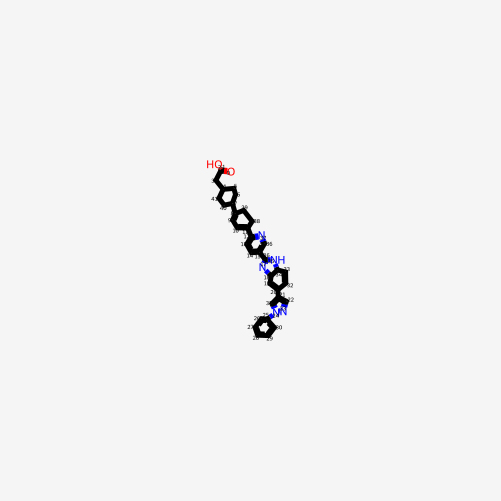 O=C(O)CC1CCC(C2=CC=C(c3ccc(C4=NC5C=C(c6cnn(-c7ccccc7)c6)C=CC5N4)cn3)CC2)CC1